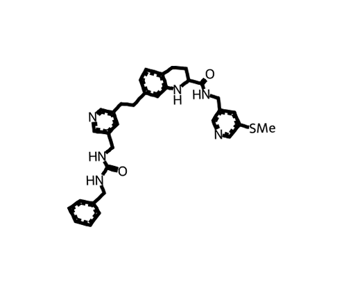 CSc1cncc(CNC(=O)C2CCc3ccc(CCc4cncc(CNC(=O)NCc5ccccc5)c4)cc3N2)c1